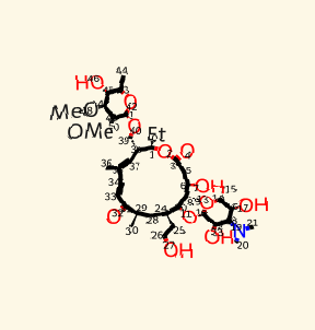 CC[C@H]1OC(=O)C[C@@H](O)[C@H](C)[C@@H](O[C@@H]2O[C@H](C)[C@@H](O)C(N(C)C)C2O)[C@@H](CCO)C[C@@H](C)C(=O)/C=C/C(C)=C/[C@@H]1CO[C@@H]1OC(C)[C@@H](O)[C@H](OC)C1OC